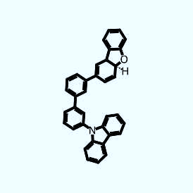 C1=C[C@@H]2Oc3ccccc3C2C=C1c1cccc(-c2cccc(-n3c4ccccc4c4ccccc43)c2)c1